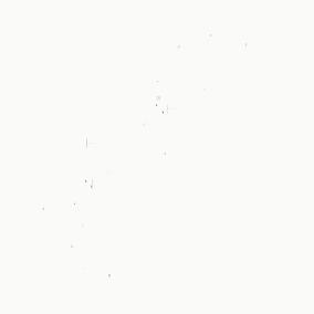 CCN1C(=O)c2ccccc2Sc2ccc(C(=O)NCc3ccc(C)cc3)cc21